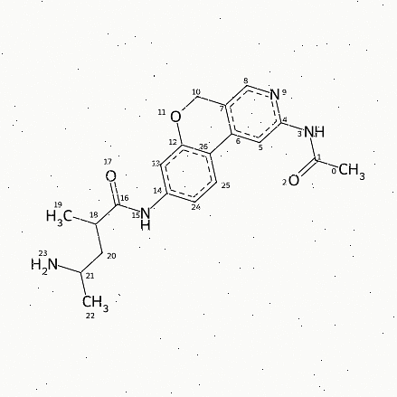 CC(=O)Nc1cc2c(cn1)COc1cc(NC(=O)C(C)CC(C)N)ccc1-2